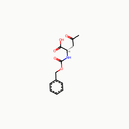 CC(=O)C[C@H](NC(=O)OCc1ccccc1)C(=O)O